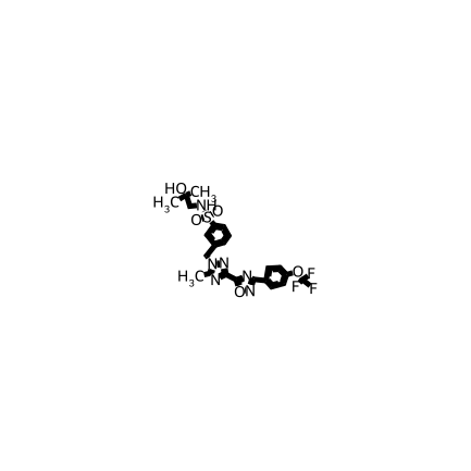 Cc1nc(-c2nc(-c3ccc(OC(F)(F)F)cc3)no2)nn1Cc1cccc(S(=O)(=O)NCC(C)(C)O)c1